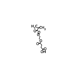 C=C(C)C(=O)OOCCOC(=O)CCC(=O)O